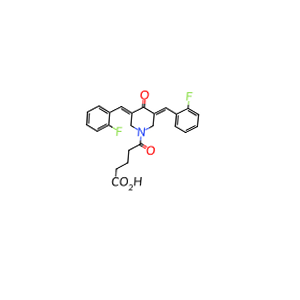 O=C(O)CCCC(=O)N1C/C(=C\c2ccccc2F)C(=O)/C(=C/c2ccccc2F)C1